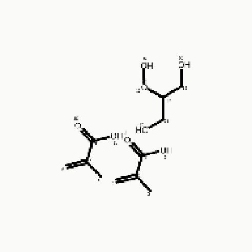 C=C(C)C(=O)O.C=C(C)C(=O)O.OCC(CO)OO